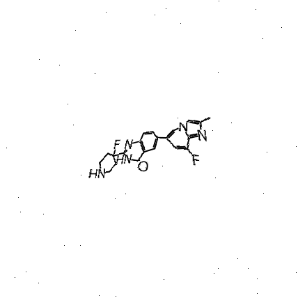 Cc1cn2cc(-c3ccc4nc(C5(F)CCNCC5)[nH]c(=O)c4c3)cc(F)c2n1